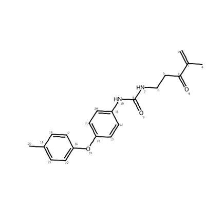 C=C(C)C(=O)CCNC(=O)Nc1ccc(Oc2ccc(C)cc2)cc1